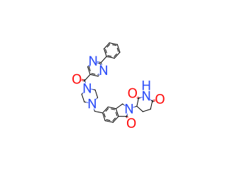 O=C1CCC(N2Cc3cc(CN4CCN(C(=O)c5cnc(-c6ccccc6)nc5)CC4)ccc3C2=O)C(=O)N1